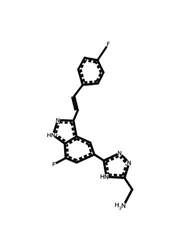 NCc1nnc(-c2cc(F)c3[nH]nc(C=Cc4ccc(F)cc4)c3c2)[nH]1